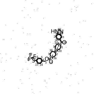 O=C(OCc1ccc(SC(F)(F)F)cc1)N1CCC(N2CCN(C(=O)c3ccc4[nH]cnc4c3)CC2)CC1